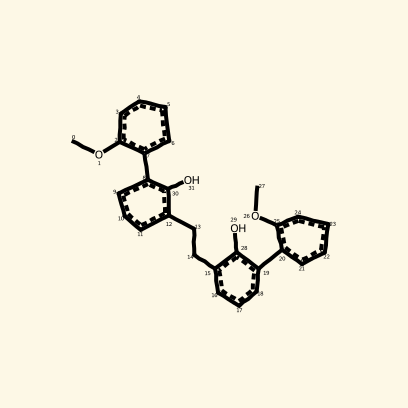 COc1ccccc1-c1cccc(CCc2cccc(-c3ccccc3OC)c2O)c1O